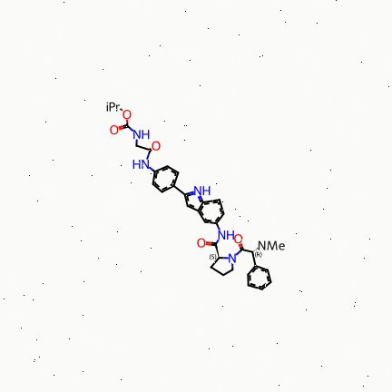 CN[C@@H](C(=O)N1CCC[C@H]1C(=O)Nc1ccc2[nH]c(-c3ccc(NC(=O)CNC(=O)OC(C)C)cc3)cc2c1)c1ccccc1